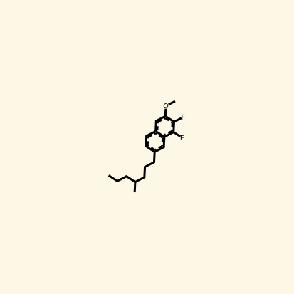 CCCC(C)CCCc1ccc2cc(OC)c(F)c(F)c2c1